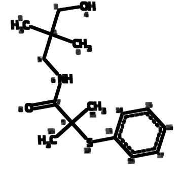 CC(C)(CO)CNC(=O)C(C)(C)Sc1ccccc1